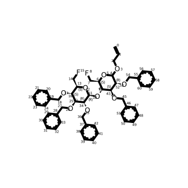 C=CCOC1O[C@H](CF)[C@@H](O[C@@H]2O[C@H](CF)[C@@H](OCc3ccccc3)[C@H](OCc3ccccc3)[C@H]2OCc2ccccc2)[C@H](OCc2ccccc2)[C@H]1OCc1ccccc1